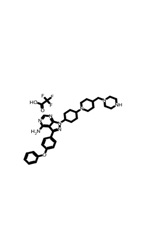 Nc1ncnc2c1c(-c1ccc(Oc3ccccc3)cc1)nn2C1CCC(N2CCC(CN3CCNCC3)CC2)CC1.O=C(O)C(F)(F)F